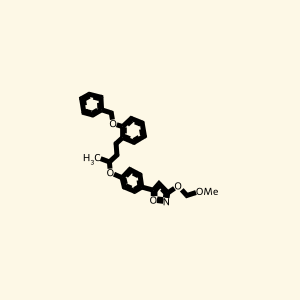 COCOc1cc(-c2ccc(OC(C)CCc3ccccc3OCc3ccccc3)cc2)on1